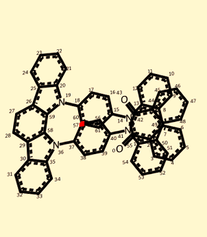 O=c1c2ccccc2c2ccccc2n1-c1ccc(-n2c3ccccc3c3ccc4c5ccccc5n(-c5ccc(-n6c(=O)c7ccccc7c7ccccc76)cc5)c4c32)cc1